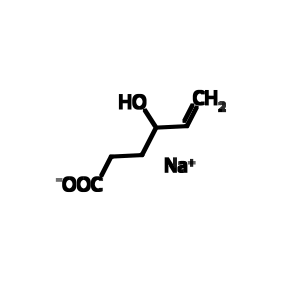 C=CC(O)CCC(=O)[O-].[Na+]